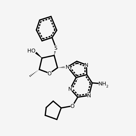 C[C@H]1O[C@@H](n2cnc3c(N)nc(OC4CCCC4)nc32)[C@@H](Sc2ccccc2)[C@@H]1O